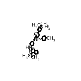 Cc1ccc(SC(CC(=O)c2ccc(C(C)(C)C)cc2)C(=O)NC[C@H]2CC[C@@H](Nc3nc(N(C)C)c4ccccc4n3)CC2)cc1